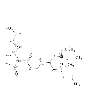 CCCCCC(O[Si](C)(C)C(C)(C)C)c1ccc(N2C(=O)CC[C@@H]2C=COC)cc1